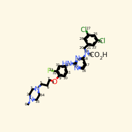 CN1CCN(CCCOc2ccc(Nc3nccc(N(Cc4cc(Cl)cc(Cl)c4)C(=O)O)n3)cc2F)CC1